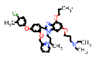 [CH2]CCOc1cc(OCCCN(CC)CC)cc2c1nc(-c1ccc(Oc3ccc(Cl)c(C)c3)cc1OCc1ccccn1)n2CCCC